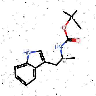 [CH2][C@@H](Cc1c[nH]c2ccccc12)NC(=O)OC(C)(C)C